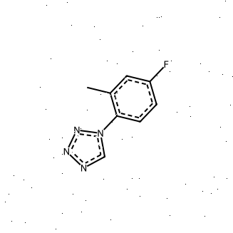 Cc1cc(F)ccc1-n1cnnn1